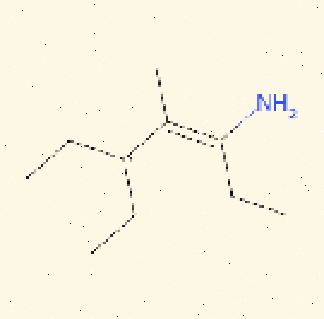 CC[C](CC)/C(C)=C(/N)CC